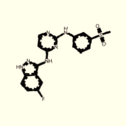 CS(=O)(=O)c1cccc(Nc2nccc(Nc3n[nH]c4ccc(F)cc34)n2)c1